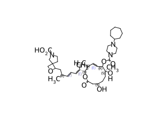 C/C(=C\C=C\[C@H](C)CC1OCC12CCN(C(=O)O)C2)[C@H]1OC(=O)C[C@@H](O)CC[C@](C)(O)[C@H](OC(=O)N2CCN(C3CCCCCC3)CC2)/C=C/[C@@H]1C